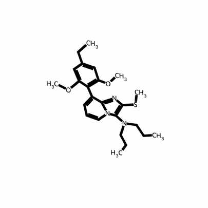 CCCN(CCC)c1c(SC)nc2c(-c3c(OC)cc(CC)cc3OC)cccn12